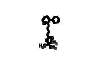 CC(C)(C)OC(=O)CCCCc1ncccc1-c1ccccc1